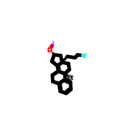 CC[C@]12CC[C@@]3(CCCF)C[C@@H](OI)CC3=C1CCc1ccccc12